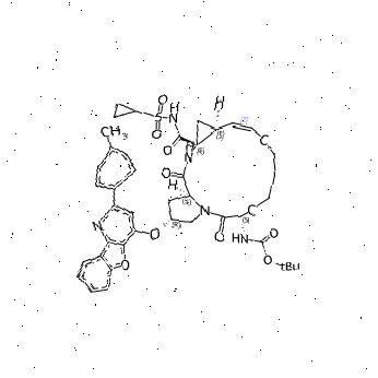 Cc1ccc(-c2cc(O[C@@H]3C[C@H]4C(=O)N[C@]5(C(=O)NS(=O)(=O)C6CC6)C[C@H]5/C=C\CCCCC[C@H](NC(=O)OC(C)(C)C)C(=O)N4C3)c3oc4ccccc4c3n2)cc1